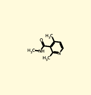 CNC(=O)c1c(C)ccnc1C